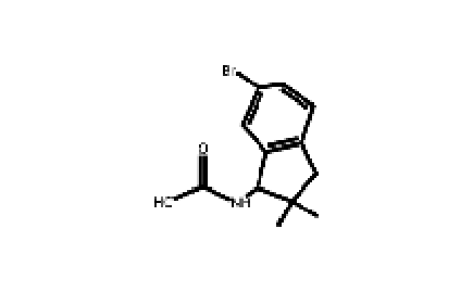 CC1(C)Cc2ccc(Br)cc2C1NC(=O)O